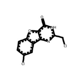 O=c1[nH]c(CCl)nc2c1oc1ccc(Cl)cc12